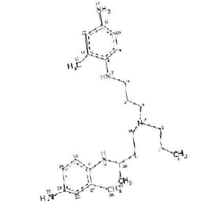 CCCN(CCCNc1ccc(N)cc1C)CCC(C)Nc1ccc(N)cc1C